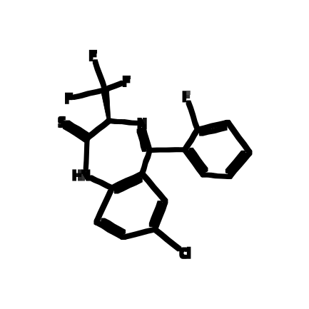 Fc1ccccc1C1=N[C@H](C(F)(F)F)C(=S)Nc2ccc(Cl)cc21